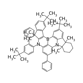 CC(C)(C)c1ccc2c(c1)C1=C(N(c3ccc(C(C)(C)C)cc3-c3ccccc3)c3cc(-c4ccccc4)cc4c3B1c1cc(C(C)(C)C)cc3c1N4C1(C)CCCCC31C)C2(C)C